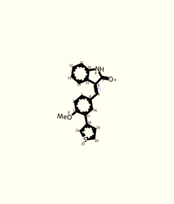 COc1ccc(/C=C2/C(=O)Nc3ccccc32)cc1-c1ccsc1